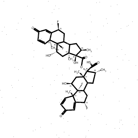 C[C@@H]1CC2C3C[C@H](F)C4=CC(=O)C=C[C@]4(C)[C@@]3(F)[C@@H](O)C[C@]2(C)[C@@]1(O)C(=O)O[C@]1(C(=O)S)[C@H](C)CC2C3C[C@H](F)C4=CC(=O)C=C[C@]4(C)[C@@]3(F)[C@@H](O)C[C@@]21C